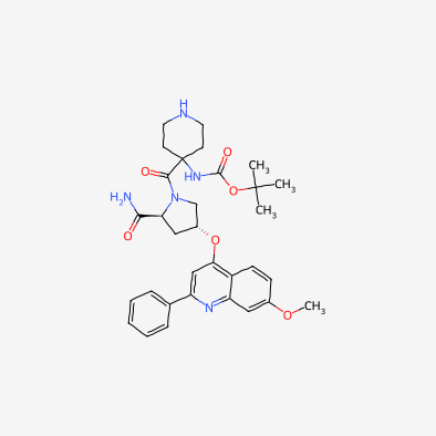 COc1ccc2c(O[C@@H]3C[C@@H](C(N)=O)N(C(=O)C4(NC(=O)OC(C)(C)C)CCNCC4)C3)cc(-c3ccccc3)nc2c1